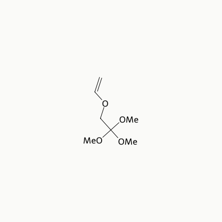 C=COCC(OC)(OC)OC